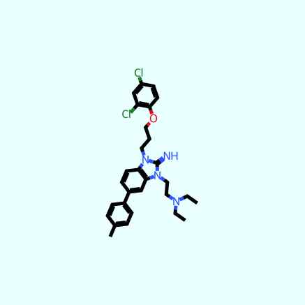 CCN(CC)CCn1c(=N)n(CCCOc2ccc(Cl)cc2Cl)c2ccc(-c3ccc(C)cc3)cc21